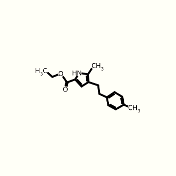 CCOC(=O)c1cc(CCc2ccc(C)cc2)c(C)[nH]1